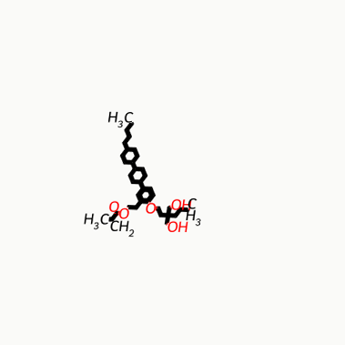 C=C(C)C(=O)OCCc1cc(C2CCC(C3CCC(CCCCC)CC3)CC2)ccc1OCCC(CO)(CO)CCCC